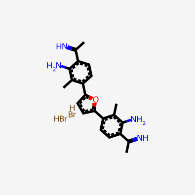 Br.Br.CC(=N)c1ccc(-c2ccc(-c3ccc(C(C)=N)c(N)c3C)o2)c(C)c1N